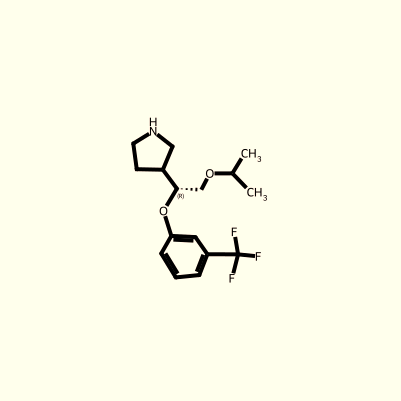 CC(C)OC[C@H](Oc1cccc(C(F)(F)F)c1)C1CCNC1